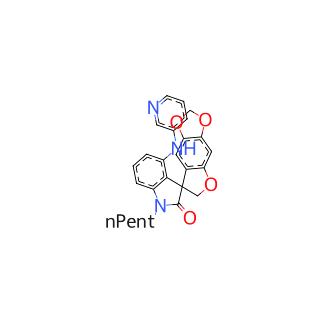 CCCCCN1C(=O)C2(COc3cc4c(cc32)OCO4)c2c(Nc3cccnc3)cccc21